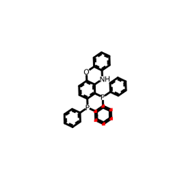 c1ccc(P(c2ccccc2)c2ccc3c(c2P(c2ccccc2)c2ccccc2)Nc2ccccc2O3)cc1